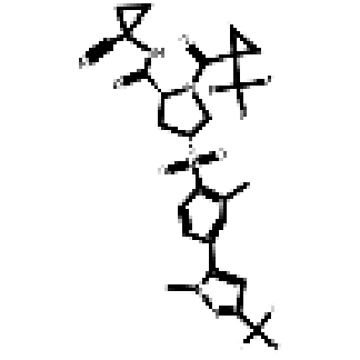 Cc1cc(-c2cc(C(F)(F)F)nn2C)ccc1S(=O)(=O)[C@@H]1C[C@@H](C(=O)NC2(C#N)CC2)N(C(=O)C2(C(F)(F)F)CC2)C1